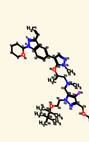 C=Cc1nn(C2CCCCO2)c2ccc(-c3cnn(C)c3OC(C)CN(C)Cc3c(I)c(COC)nn3CCO[Si](C)(C)C(C)(C)C)cc12